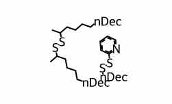 CCCCCCCCCCCCCCC(C)SSC(C)CCCCCCCCCCCCCC.CCCCCCCCCCSSc1ccccn1